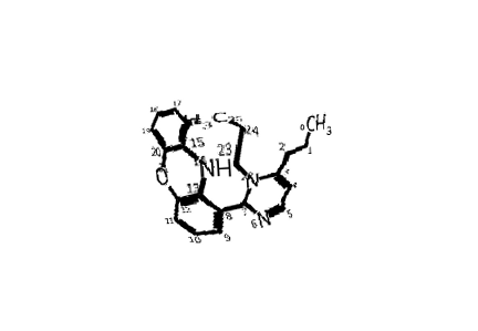 CCCC1=CC=NC(c2cccc3c2Nc2ccccc2O3)N1CCC